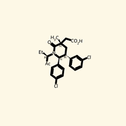 CC[C@H](C(C)=O)N1C(=O)[C@](C)(CC(=O)O)C[C@H](c2cccc(Cl)c2)[C@H]1c1ccc(Cl)cc1